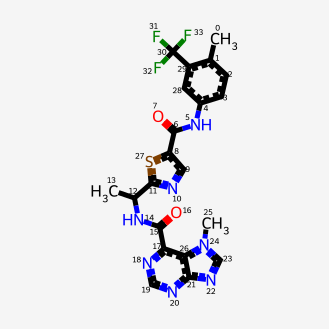 Cc1ccc(NC(=O)c2cnc(C(C)NC(=O)c3ncnc4ncn(C)c34)s2)cc1C(F)(F)F